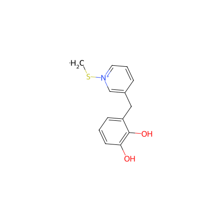 [CH2]S[n+]1cccc(Cc2cccc(O)c2O)c1